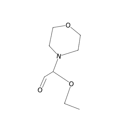 CCOC(C=O)N1CCOCC1